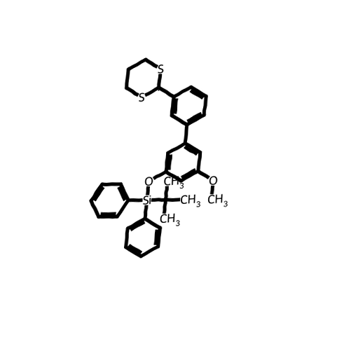 COc1cc(O[Si](c2ccccc2)(c2ccccc2)C(C)(C)C)cc(-c2cccc([C]3SCCCS3)c2)c1